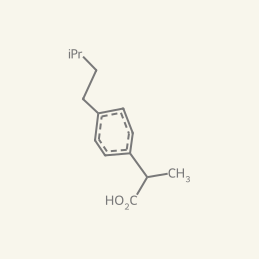 CC(C)CCc1ccc(C(C)C(=O)O)cc1